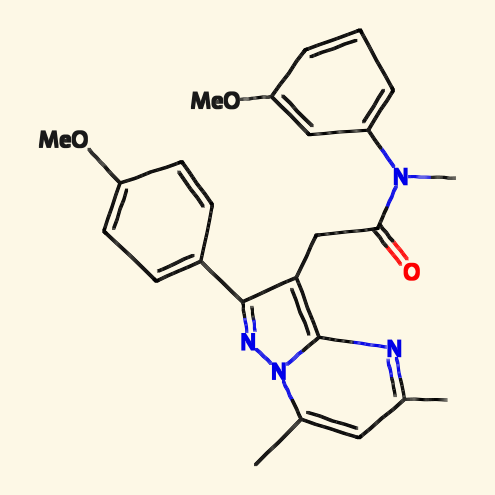 COc1ccc(-c2nn3c(C)cc(C)nc3c2CC(=O)N(C)c2cccc(OC)c2)cc1